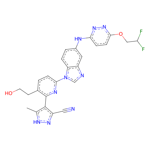 Cc1[nH]nc(C#N)c1-c1nc(-n2cnc3cc(Nc4ccc(OCC(F)F)nn4)ccc32)ccc1CCO